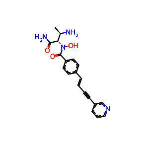 C[C@@H](N)[C@@H](C(N)=O)N(O)C(=O)c1ccc(/C=C/C#Cc2cccnc2)cc1